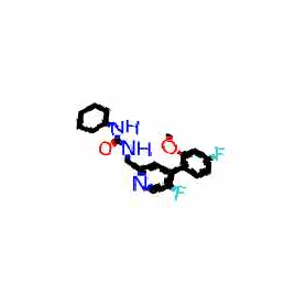 COc1cc(F)ccc1-c1cc(CNC(=O)NC2CCCCC2)ncc1F